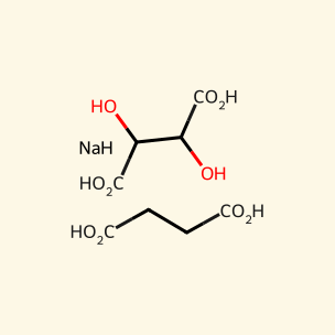 O=C(O)C(O)C(O)C(=O)O.O=C(O)CCC(=O)O.[NaH]